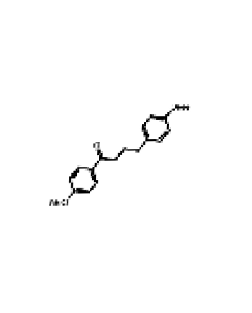 COc1ccc(CCCC(=O)c2ccc(OC)cc2)cc1